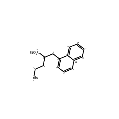 CCOC(=O)C(CSC(C)(C)C)Cc1cccc2ccccc12